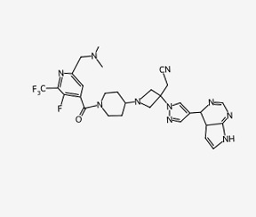 CN(C)Cc1cc(C(=O)N2CCC(N3CC(CC#N)(n4cc(C5N=CN=C6NC=CC65)cn4)C3)CC2)c(F)c(C(F)(F)F)n1